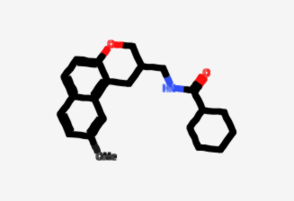 COc1ccc2ccc3c(c2c1)CC(CNC(=O)C1CCCCC1)CO3